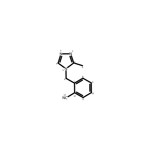 Cc1nncn1Cc1ccccc1C#N